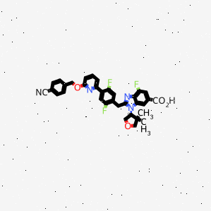 CC1(C)COC[C@H]1n1c(Cc2cc(F)c(-c3cccc(OCc4ccc(C#N)cc4)n3)cc2F)nc2c(F)cc(C(=O)O)cc21